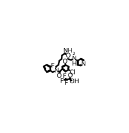 NC(=O)CCCCCN(Cc1ccccc1F)C(=O)c1cc(Cl)cc(OCCNc2ccncc2)c1.O=C(O)C(F)(F)F